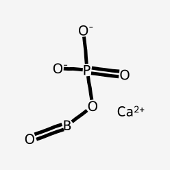 O=BOP(=O)([O-])[O-].[Ca+2]